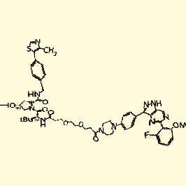 COc1cccc(F)c1-c1ncc2[nH]nc(-c3ccc(N4CCN(C(=O)CCOCCOCCC(=O)N[C@H](C(=O)N5C[C@H](O)C[C@H]5C(=O)NCc5ccc(-c6scnc6C)cc5)C(C)(C)C)CC4)cc3)c2n1